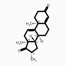 C[C@H]1C[C@H]2[C@@H]3CCC4=CC(=O)CC[C@]4(C)C3=CC[C@]2(C)C1=O